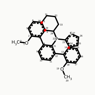 COc1ccccc1-c1cccc(-c2ccccc2OC)c1P(c1cccs1)C1CCCCC1